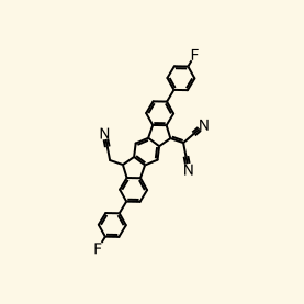 N#CCC1c2cc(-c3ccc(F)cc3)ccc2-c2cc3c(cc21)-c1ccc(-c2ccc(F)cc2)cc1C3=C(C#N)C#N